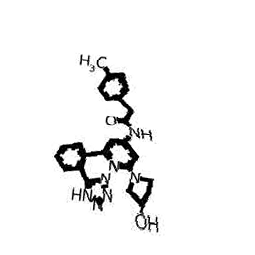 Cc1ccc(CC(=O)Nc2cc(-c3ccccc3-c3nnn[nH]3)nc(N3CC[C@@H](O)C3)c2)cc1